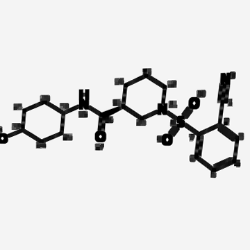 N#Cc1ccccc1S(=O)(=O)N1CCC[C@H](C(=O)NC2CCC(O)CC2)C1